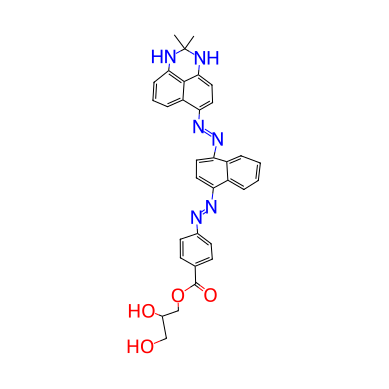 CC1(C)Nc2cccc3c(N=Nc4ccc(N=Nc5ccc(C(=O)OCC(O)CO)cc5)c5ccccc45)ccc(c23)N1